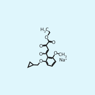 CCOC(=O)C(=O)/C=C(\[O-])c1c(OC)cccc1OCC1CC1.[Na+]